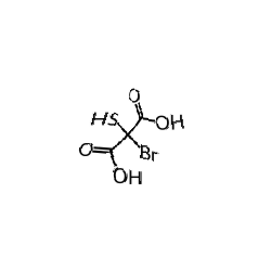 O=C(O)C(S)(Br)C(=O)O